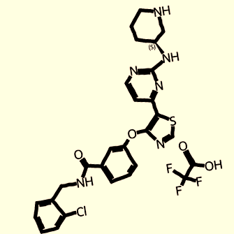 O=C(NCc1ccccc1Cl)c1cccc(Oc2ncsc2-c2ccnc(N[C@H]3CCCNC3)n2)c1.O=C(O)C(F)(F)F